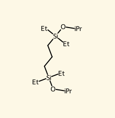 CC[Si](CC)(CCC[Si](CC)(CC)OC(C)C)OC(C)C